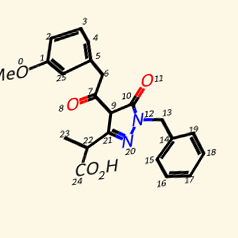 COc1cccc(CC(=O)C2C(=O)N(Cc3ccccc3)N=C2C(C)C(=O)O)c1